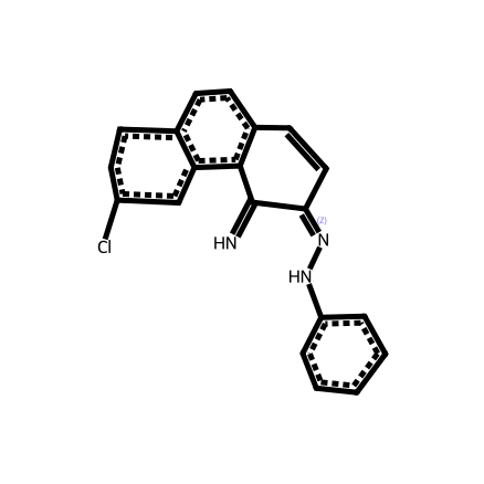 N=C1/C(=N\Nc2ccccc2)C=Cc2ccc3ccc(Cl)cc3c21